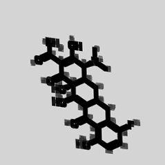 CN(C)[C@@H]1C(O)=C(C(N)=O)C(=O)[C@@]2(O)C(O)=C3C(=O)c4c(O)ccc(F)c4CC3CC12